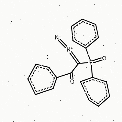 [N-]=[N+]=C(C(=O)c1ccccc1)P(=O)(c1ccccc1)c1ccccc1